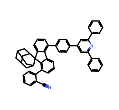 N#Cc1ccccc1-c1cccc2c1C1(c3cccc(-c4ccc(-c5cc(-c6ccccc6)nc(-c6ccccc6)c5)cc4)c3-2)C2CC3CC(C2)CC1C3